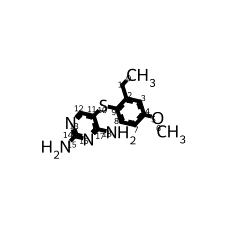 CCc1cc(OC)ccc1Sc1cnc(N)nc1N